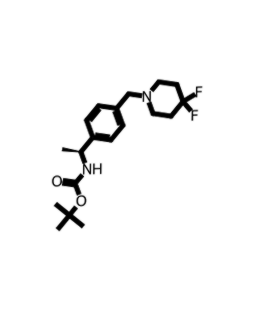 C[C@H](NC(=O)OC(C)(C)C)c1ccc(CN2CCC(F)(F)CC2)cc1